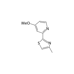 COc1ccnc(-c2nc(C)cs2)c1